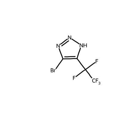 FC(F)(F)C(F)(F)c1[nH]nnc1Br